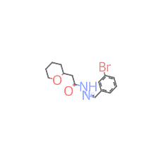 O=C(CC1CCCCO1)N/N=C\c1cccc(Br)c1